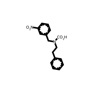 O=C(O)N(CCc1ccccc1)Cc1cccc([N+](=O)[O-])c1